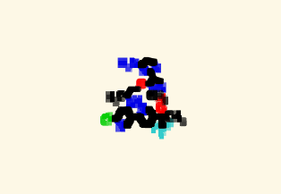 C[C@@H](CCOc1c(-c2nccc(N)n2)cnn1C)Nc1cc(Cl)ncc1-c1ccc(C(C)(O)C(F)(F)F)cn1